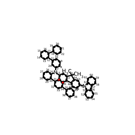 CC1(C)c2cc(N(c3cccc(-c4ccccc4-c4ccccc4)c3)c3ccccc3-c3ccc(-c4ccccc4)cc3)ccc2-c2ccc(-n3c4ccccc4c4ccccc43)cc21